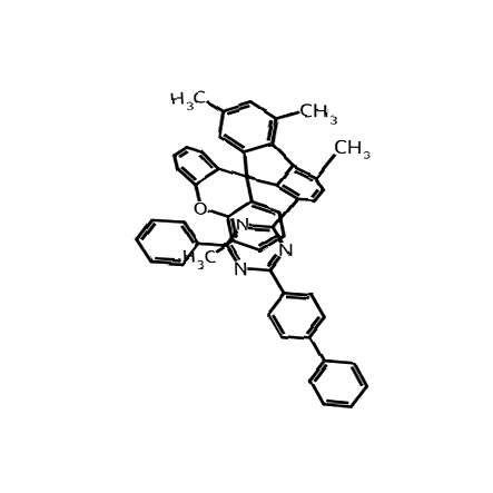 Cc1cc(C)c2c(c1)C1(c3ccccc3Oc3c(C)cccc31)c1c(-c3nc(-c4ccccc4)nc(-c4ccc(-c5ccccc5)cc4)n3)ccc(C)c1-2